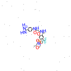 CC(NC(=O)CC(=O)Nc1ccc(C(=N)N)cc1)c1ccc(S(=O)(=O)N2CCO[C@@H](C)C2)c(C(F)(F)F)c1